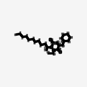 CCCCCCCCCCC(C)O[PH](=O)CC(CC1CCCCC1)C(=O)OCC